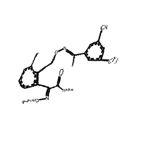 CNC(=O)/C(=N/OC)c1cccc(C)c1CO/N=C(\C)c1cc(C#N)cc(C(F)(F)F)c1